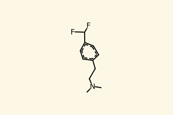 CN(C)CCc1ccc(C(F)F)cc1